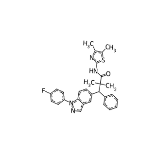 Cc1nc(NC(=O)C(C)(C)C(c2ccccc2)c2ccc3c(cnn3-c3ccc(F)cc3)c2)sc1C